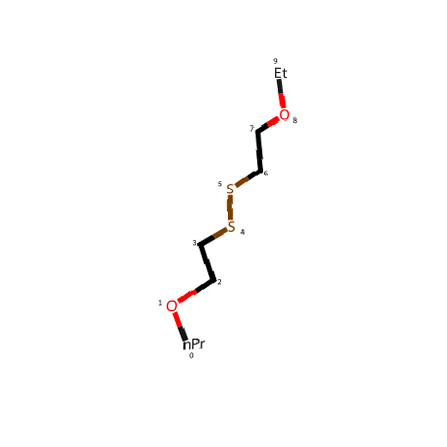 CCCOCCSSCCOCC